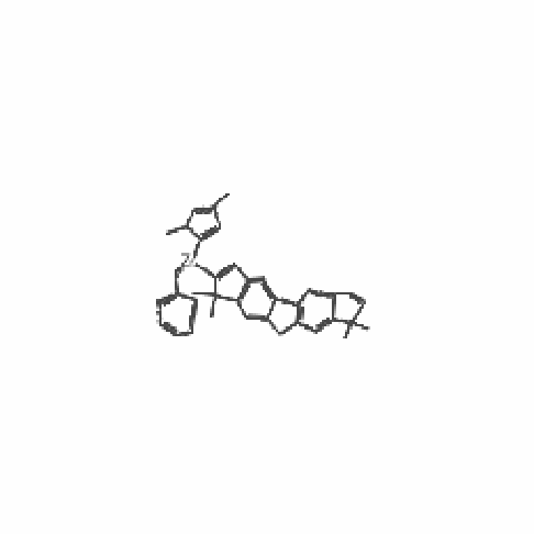 CC1=CC(C)[C]([Zr](=[CH]c2ccccc2)[C]2=Cc3cc4c(cc3C2(C)C)Cc2cc3c(cc2-4)C=CC3(C)C)=C1